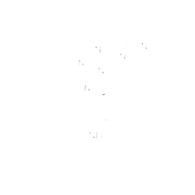 CC[C@H]1CN(C)C(=O)N1c1nc(C)nc(N[C@@H](C)c2cc3ccc(OC)c(Cl)c3[nH]c2=O)n1